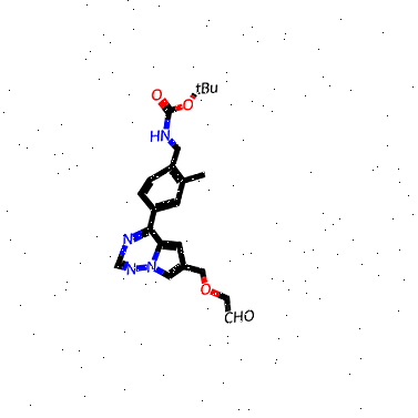 Cc1cc(-c2ncnn3cc(COCC=O)cc23)ccc1CNC(=O)OC(C)(C)C